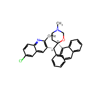 COc1nc2ccc(Cl)cc2cc1[C@@H](c1ccccc1)[C@@]1(c2cccc3ccccc23)CCN(C)CO1